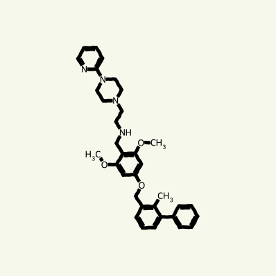 COc1cc(OCc2cccc(-c3ccccc3)c2C)cc(OC)c1CNCCN1CCN(c2ccccn2)CC1